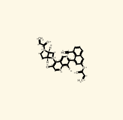 C#Cc1cccc2cc(OC(=O)C=C)cc(-c3ncc4c(N5C[C@@H]6[C@H]5CCN6C(=O)C=C)c(Cl)cnc4c3F)c12